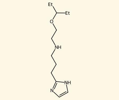 CCC(CC)OCCNCCCc1ncc[nH]1